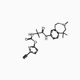 C#Cc1ccc(OC(=O)NC(C)(C)C(=O)Nc2ccc3c(c2)CCN(C)CC3(C)C)s1